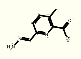 CCC(=O)c1nc(/C=N/N)ccc1C